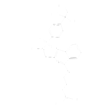 CCC(C)(C)c1ccc(S(=O)(=O)N(C)Cc2nc(NCCCN(C)C)c3ccccc3n2)cc1